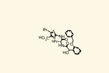 CCC[C@H](NC(=O)C(O)c1ccccc1OCc1ccccc1)C(=O)Nc1nc(C(=O)O)c(C(C)C)s1